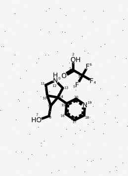 O=C(O)C(F)(F)F.OCC1C2CNCC12c1cccnc1